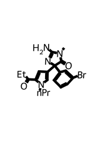 CCCn1cc(C2(c3cccc(Br)c3)N=C(N)N(C)C2=O)cc1C(=O)CC